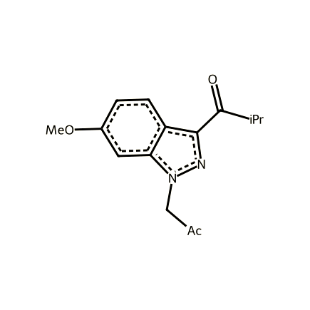 COc1ccc2c(C(=O)C(C)C)nn(CC(C)=O)c2c1